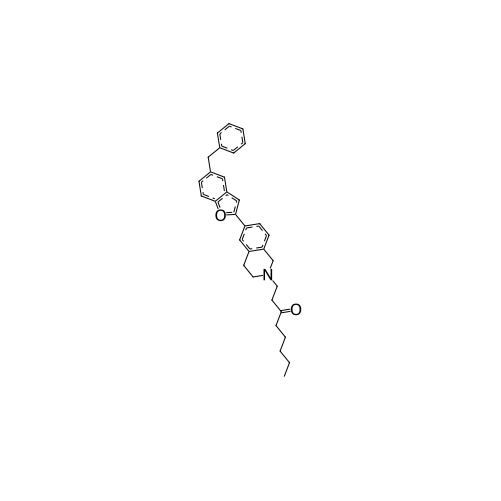 CCCCCC(=O)CCN1CCc2cc(-c3cc4cc(Cc5ccccc5)ccc4o3)ccc2C1